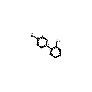 CCCc1ccccc1-c1ccc(O)cc1